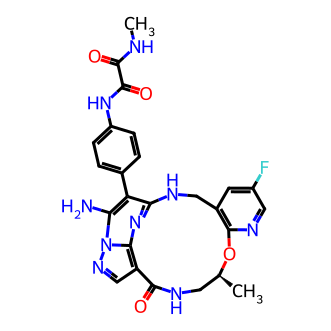 CNC(=O)C(=O)Nc1ccc(-c2c3nc4c(cnn4c2N)C(=O)NC[C@H](C)Oc2ncc(F)cc2CN3)cc1